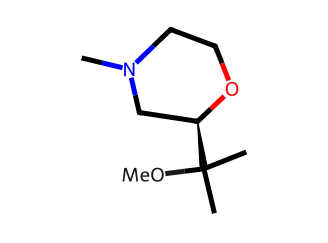 COC(C)(C)[C@H]1CN(C)CCO1